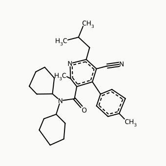 Cc1ccc(-c2c(C#N)c(CC(C)C)nc(C)c2C(=O)N(C2CCCCC2)C2CCCCC2)cc1